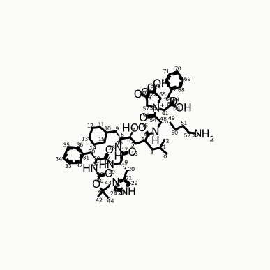 CC(C)CC(C[C@H](O)[C@H](CC1CCCCC1)NC(=O)[C@H](Cc1c[nH]cn1)NC(=O)[C@H](Cc1ccccc1)NC(=O)OC(C)(C)C)C(=O)N[C@@H](CCCCN)C(=O)[N+](CC(=O)[O-])(CC(=O)O)[C@@H](Cc1ccccc1)C(=O)O